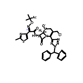 CC(=O)C(C)(C)O/N=C(\C(=O)N[C@@H]1C(=O)N2C(c3nnn(C(c4ccccc4)c4ccccc4)n3)=C(CCl)C[S+]([O-])[C@H]12)c1csc(C)n1